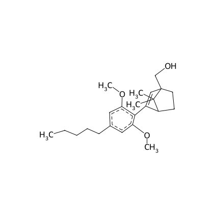 CCCCCc1cc(OC)c(C2=CC3(CO)CCC2C3(C)C)c(OC)c1